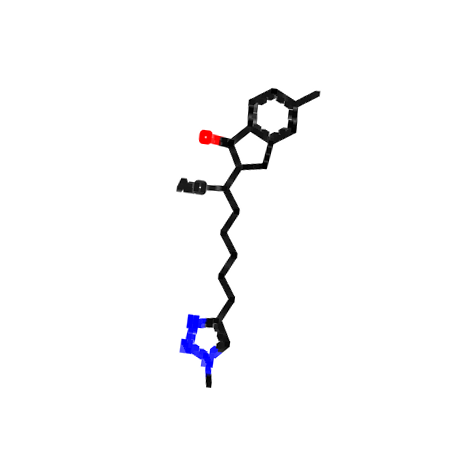 CC(=O)OC(CCCCCc1cn(C)nn1)C1Cc2cc(C)ccc2C1=O